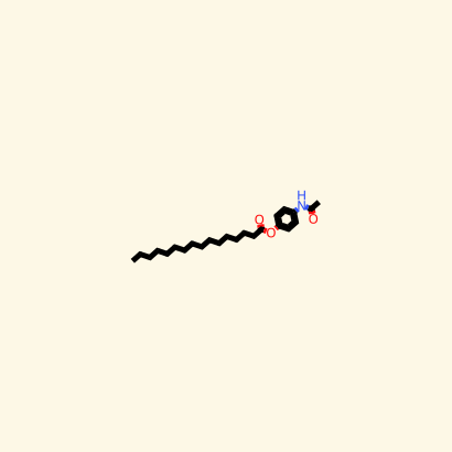 CCCCCCCCCCCCCCCC(=O)Oc1ccc(NC(C)=O)cc1